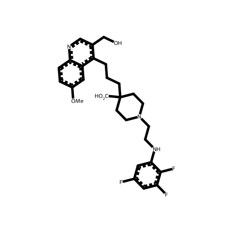 COc1ccc2ncc(CO)c(CCCC3(C(=O)O)CCN(CCNc4cc(F)cc(F)c4F)CC3)c2c1